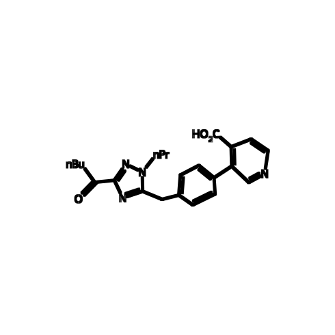 CCCCC(=O)c1nc(Cc2ccc(-c3cnccc3C(=O)O)cc2)n(CCC)n1